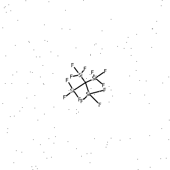 F[Si](F)(F)C([Si](F)(F)F)([Si](F)(F)F)[Si](F)(F)F